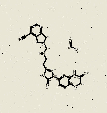 N#Cc1cccc2c1CC(CNCCc1nn(-c3ccc4c(c3)NC(=O)CO4)c(=O)o1)C2.O=CO